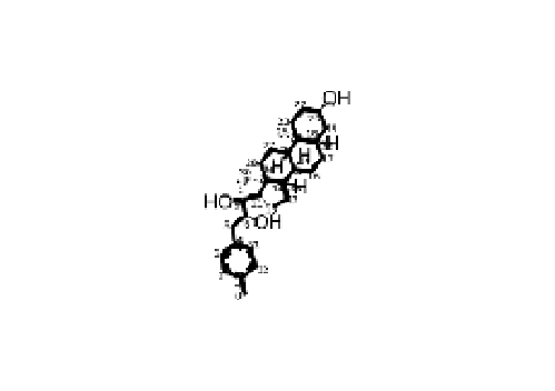 Cc1ccc(C[C@@H](O)[C@@](C)(O)[C@H]2CC[C@H]3[C@@H]4CC[C@H]5C[C@@H](O)CC[C@]5(C)[C@H]4CC[C@]23C)cc1